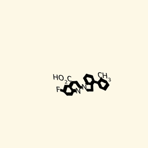 Cc1ccccc1-c1cccc2c1CCN2c1cc(C(=O)O)c2cc(F)ccc2n1